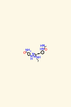 CCCNc1nc(Nc2ccc(C(N)=O)cc2)ncc1C#Cc1cccc(NC(=O)C(C)NC)c1